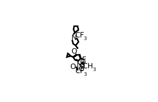 CS(=O)(=O)N(C(=O)C(F)(F)F)c1cc(C2CC2)c(OCC2CCN(CC3(C(F)(F)F)CCCC3)CC2)cc1F